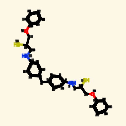 SC(CNc1ccc(Cc2ccc(NCC(S)COc3ccccc3)cc2)cc1)COc1ccccc1